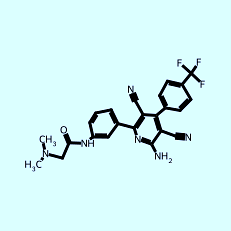 CN(C)CC(=O)Nc1cccc(-c2nc(N)c(C#N)c(-c3ccc(C(F)(F)F)cc3)c2C#N)c1